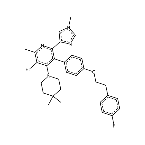 CCc1c(C)nc(-c2cn(C)cn2)c(-c2ccc(OCCc3ccc(F)cc3)cc2)c1N1CCC(C)(C)CC1